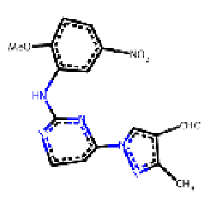 COc1ccc([N+](=O)[O-])cc1Nc1nccc(-n2cc(C=O)c(C)n2)n1